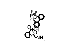 NCC(=O)N1CCCCC1C(=O)Nc1ccc(-c2ccccc2OC(F)(F)F)c(Cl)c1